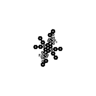 O=C(Nc1cccc2c1oc1ccccc12)C(N1C(=O)c2cc(Oc3ccc(-c4ccccc4)cc3)c3c4c(Oc5ccc(-c6ccccc6)cc5)cc5c6c(cc(Oc7ccc(-c8ccccc8)cc7)c(c7c(Oc8ccc(-c9ccccc9)cc8)cc(c2c37)C1=O)c64)C(=O)N(C(C(=O)Nc1cccc2c1oc1ccccc12)C(F)(F)F)C5=O)C(F)(F)F